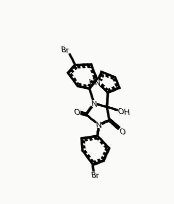 O=C1N(c2ccc(Br)cc2)C(=O)C(O)(c2ccc[nH]2)N1c1ccc(Br)cc1